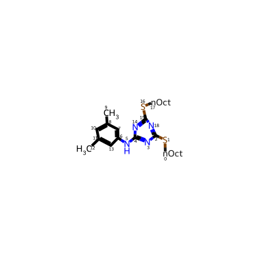 CCCCCCCCSc1nc(Nc2cc(C)cc(C)c2)nc(SCCCCCCCC)n1